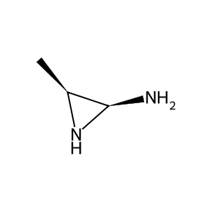 C[C@@H]1N[C@@H]1N